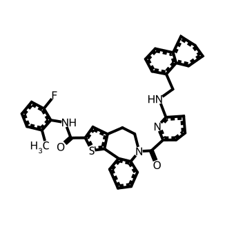 Cc1cccc(F)c1NC(=O)c1cc2c(s1)-c1ccccc1N(C(=O)c1cccc(NCc3cccc4ccccc34)n1)CC2